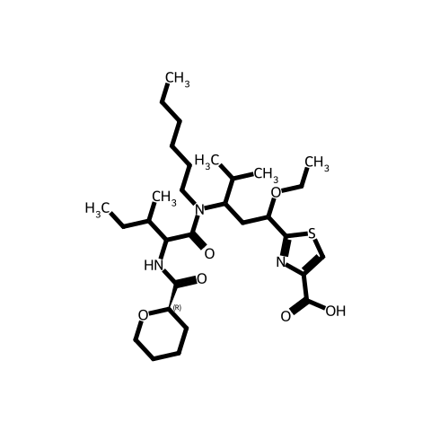 CCCCCCN(C(=O)C(NC(=O)[C@H]1CCCCO1)C(C)CC)C(CC(OCC)c1nc(C(=O)O)cs1)C(C)C